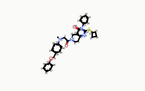 CN(CC(=O)N1CCc2nc(SC3CCC3)n(-c3ccccc3)c(=O)c2C1)c1ccc(COc2ccccc2)cc1